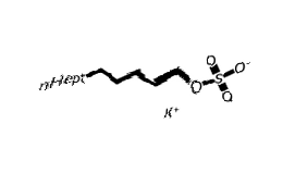 CCCCCCCCCCC=COS(=O)(=O)[O-].[K+]